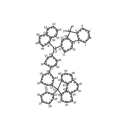 CC1(C)c2ccccc2-c2ccc(N(c3ccc(-c4cccc(C5(c6ccccc6)c6cccc7ccc8cccc5c8c67)c4)cc3)c3cccc4ccccc34)cc21